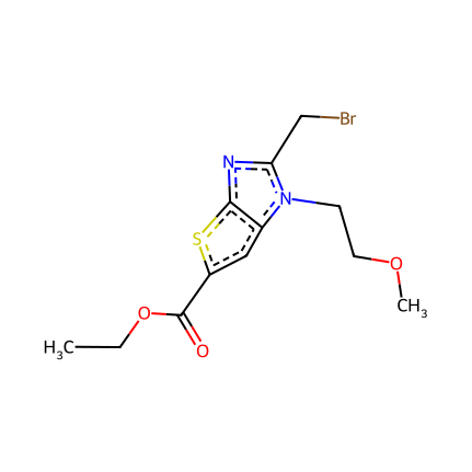 CCOC(=O)c1cc2c(nc(CBr)n2CCOC)s1